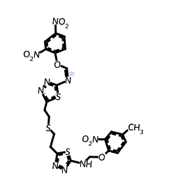 Cc1ccc(OCNc2nnc(CCSCCc3nnc(/N=C\Oc4ccc([N+](=O)[O-])cc4[N+](=O)[O-])s3)s2)c([N+](=O)[O-])c1